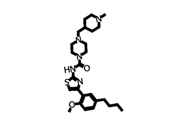 CCCCc1ccc(OC)c(-c2csc(NC(=O)N3CCN(CC4CCN(C)CC4)CC3)n2)c1